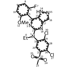 CCN(c1nc(-c2c(F)cccc2OC)c2[nH]ncc2n1)c1cc(S(C)(=O)=O)c(Cl)cc1Cl